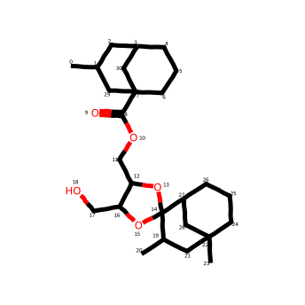 CC1CC2CCCC(C(=O)OCC3OC4(OC3CO)C(C)CC3(C)CCCC4C3)(C1)C2